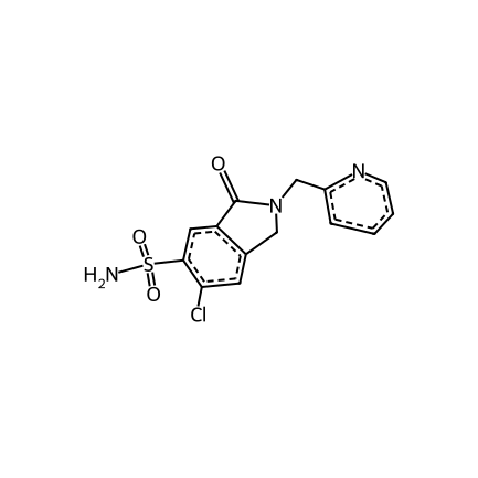 NS(=O)(=O)c1cc2c(cc1Cl)CN(Cc1ccccn1)C2=O